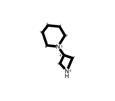 [CH]1CCN(C2CNC2)CC1